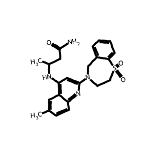 Cc1ccc2nc(N3CCS(=O)(=O)c4ccccc4C3)cc(NC(C)CC(N)=O)c2c1